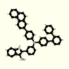 CC(C)(C)c1c(-c2cccc(N(c3ccc(-c4ccc5c(ccc6ccccc65)c4)cc3)c3ccc(-c4ccccc4-c4ccccc4)cc3)c2)oc2ccccc12